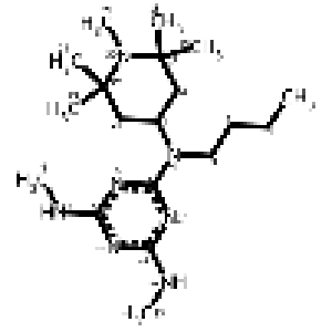 CCCCN(c1nc(NC)nc(NC)n1)C1CC(C)(C)N(C)C(C)(C)C1